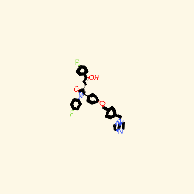 O=C1[C@H](CC[C@H](O)c2ccc(F)cc2)[C@@H](c2ccc(OCc3ccc(C[N+]45CCN(CC4)CC5)cc3)cc2)N1c1ccc(F)cc1